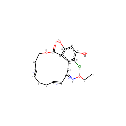 CCO/N=C1/C=C/CC/C=C/CCOC(=O)c2c(O)cc(O)c(Cl)c2C1